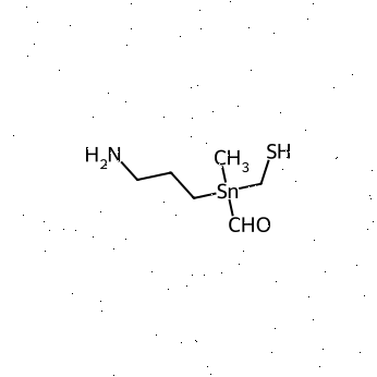 [CH3][Sn]([CH]=O)([CH2]S)[CH2]CCN